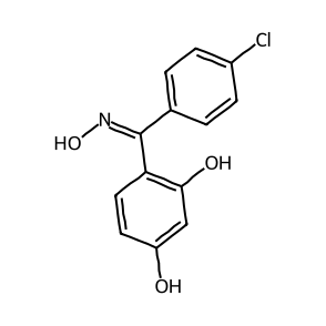 O/N=C(/c1ccc(Cl)cc1)c1ccc(O)cc1O